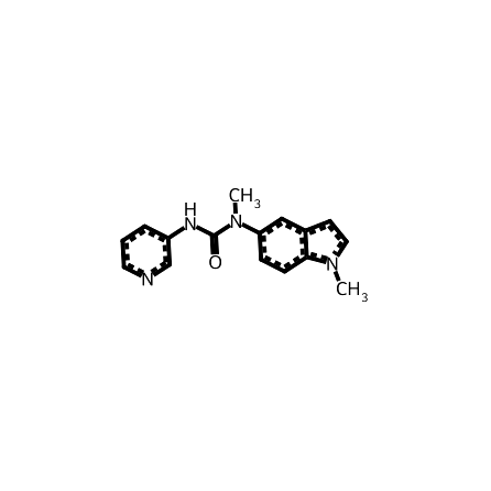 CN(C(=O)Nc1cccnc1)c1ccc2c(ccn2C)c1